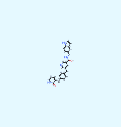 O=C(NCc1ccc2[nH]ccc2c1)c1cncc(Cc2ccc(Cc3ccc[nH]c3=O)cc2)c1